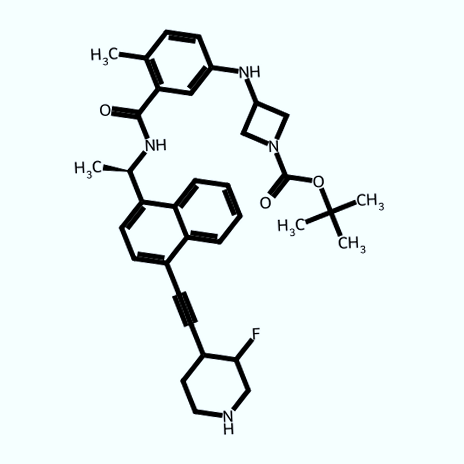 Cc1ccc(NC2CN(C(=O)OC(C)(C)C)C2)cc1C(=O)N[C@H](C)c1ccc(C#CC2CCNCC2F)c2ccccc12